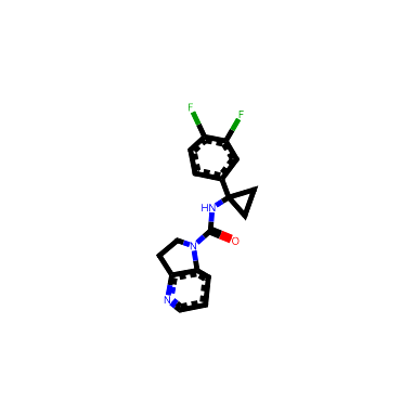 O=C(NC1(c2ccc(F)c(F)c2)CC1)N1CCc2ncccc21